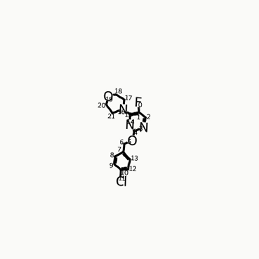 Fc1cnc(OCc2ccc(Cl)cc2)nc1N1CCOCC1